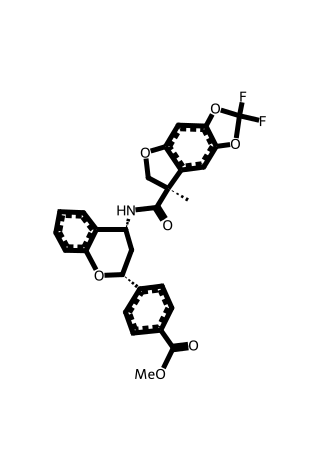 COC(=O)c1ccc([C@H]2C[C@@H](NC(=O)[C@@]3(C)COc4cc5c(cc43)OC(F)(F)O5)c3ccccc3O2)cc1